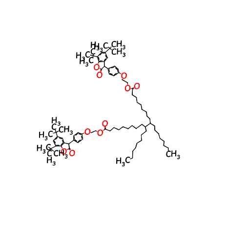 CCCCCCCCC(CCCCCCCCC(=O)OCCOc1ccc(C2C(=O)Oc3c2cc(C(C)(C)C)cc3C(C)(C)C)cc1)C(CCCCCCCC)CCCCCCCCC(=O)OCCOc1ccc(C2C(=O)Oc3c2cc(C(C)(C)C)cc3C(C)(C)C)cc1